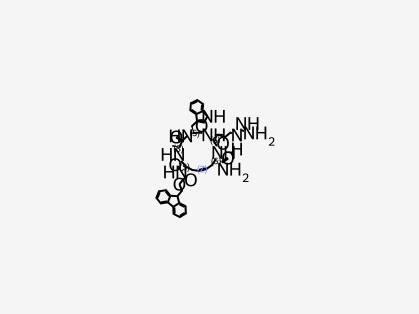 C[C@@H]1NC(=O)[C@@H](NC(=O)OCC2c3ccccc3-c3ccccc32)C/C=C\C[C@@H](C(N)=O)NC(=O)[C@H](CCCNC(=N)N)NC(=O)[C@H](Cc2c[nH]c3ccccc23)NC1=O